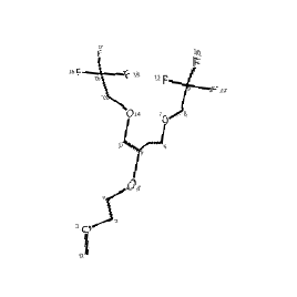 COCCOC(COCC(F)(F)F)COCC(F)(F)F